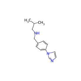 CC(C)CNCc1ccc(-n2ccnc2)cc1